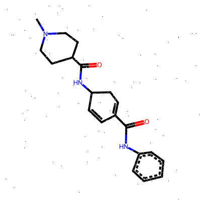 CN1CCC(C(=O)NC2C=CC(C(=O)Nc3ccccc3)=CC2)CC1